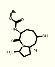 C[C@@H]1CC[C@@H]2CC(O)CC[C@H](NC(=O)OC(C)(C)C)C(=O)N21